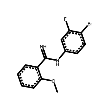 COc1ccccc1C(=N)Nc1ccc(Br)c(F)c1